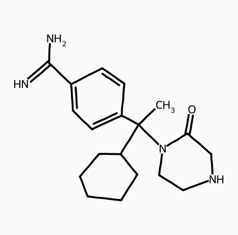 CC(c1ccc(C(=N)N)cc1)(C1CCCCC1)N1CCNCC1=O